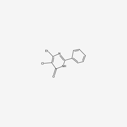 CCc1nc(-c2ccccc2)[nH]c(=O)c1Cl